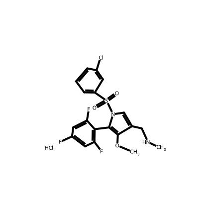 CNCc1cn(S(=O)(=O)c2cccc(Cl)c2)c(-c2c(F)cc(F)cc2F)c1OC.Cl